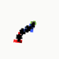 O=C(O)c1ccc(OC2CCN(c3ccc(-c4nc(C(F)(F)F)c[nH]4)cn3)CC2)cc1